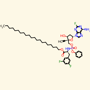 C#C[C@]1(CO[P@@](=O)(N[C@@H](Cc2cc(F)cc(F)c2)C(=O)OCCCCCCCCCCCCCCCCCCCCC)Oc2ccccc2)O[C@@H](n2cnc3c(N)nc(F)nc32)C[C@@H]1O